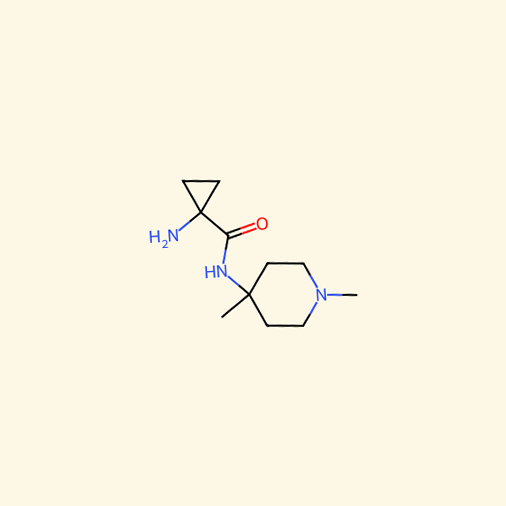 CN1CCC(C)(NC(=O)C2(N)CC2)CC1